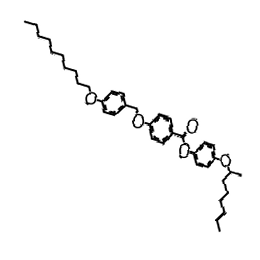 CCCCCCCCCCOc1ccc(COc2ccc(C(=O)Oc3ccc(OC(C)CCCCCC)cc3)cc2)cc1